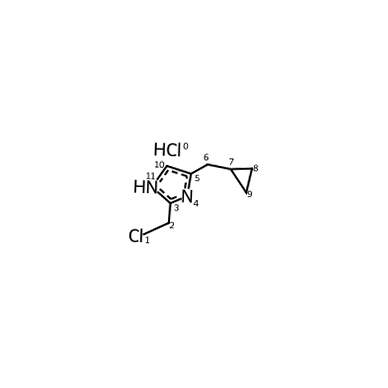 Cl.ClCc1nc(CC2CC2)c[nH]1